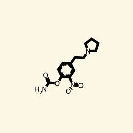 NC(=O)Oc1ccc(CCN2CCCC2)cc1[N+](=O)[O-]